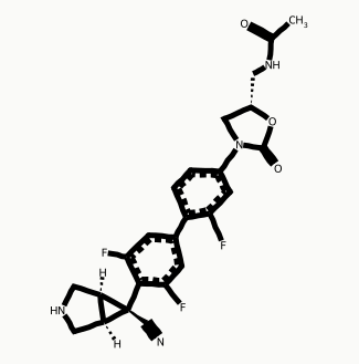 CC(=O)NC[C@H]1CN(c2ccc(-c3cc(F)c([C@@]4(C#N)[C@@H]5CNC[C@@H]54)c(F)c3)c(F)c2)C(=O)O1